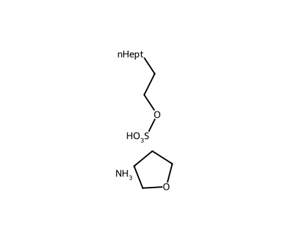 C1CCOC1.CCCCCCCCCOS(=O)(=O)O.N